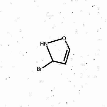 BrC1C=CON1